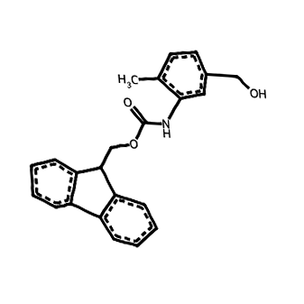 Cc1ccc(CO)cc1NC(=O)OCC1c2ccccc2-c2ccccc21